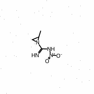 CC1CN1C(=N)N[N+](=O)[O-]